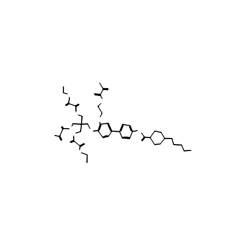 C=C(C)C(=O)OCCOc1cc(-c2ccc(OC(=O)C3CCC(CCCCC)CC3)cc2)ccc1OCC(COC(=O)C(=C)C)(COC(=O)C(=O)OCC)COC(=O)C(=O)OCC